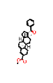 COC(=O)C1=CC2=CC[C@H]3[C@@H]4CC[C@H](C(=O)c5ccccc5)[C@@]4(C)CC[C@@H]3[C@@]2(C)CC1